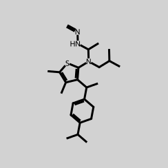 C=NNC(C)N(CC(C)C)c1sc(C)c(C)c1C(C)C1=CC=C(C(C)C)CC1